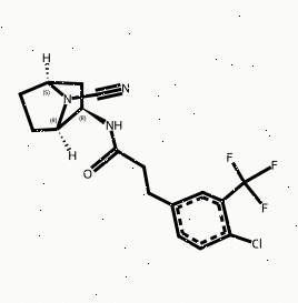 N#CN1[C@H]2CC[C@@H]1[C@H](NC(=O)CCc1ccc(Cl)c(C(F)(F)F)c1)C2